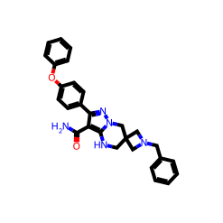 NC(=O)c1c(-c2ccc(Oc3ccccc3)cc2)nn2c1NCC1(CN(Cc3ccccc3)C1)C2